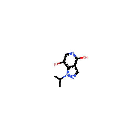 CC(C)n1ncc2c(O)ncc(Br)c21